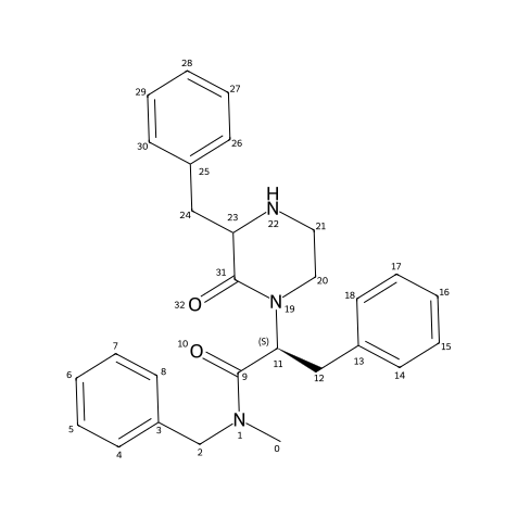 CN(Cc1ccccc1)C(=O)[C@H](Cc1ccccc1)N1CCNC(Cc2ccccc2)C1=O